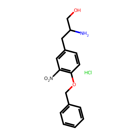 Cl.NC(CO)Cc1ccc(OCc2ccccc2)c([N+](=O)[O-])c1